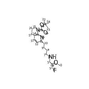 CO[C@H](CF)CNCCCCc1ccc2c(n1)N(C(=O)OC(C)(C)C)CCC2